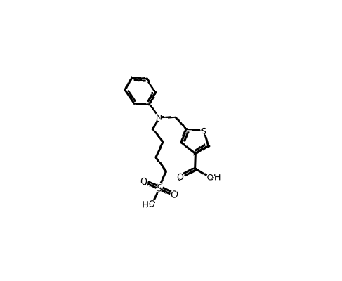 O=C(O)c1csc(CN(CCCCS(=O)(=O)O)c2ccccc2)c1